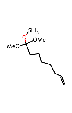 C=CCCCCCC(OC)(OC)O[SiH3]